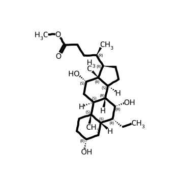 CC[C@H]1[C@@H](O)[C@@H]2[C@H](C[C@H](O)[C@]3(C)[C@@H]([C@H](C)CCC(=O)OC)CC[C@@H]23)[C@@]2(C)CC[C@@H](O)C[C@@H]12